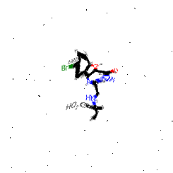 CC(C)(NCc1nc2c(oc3ccc(Br)cc32)c(=O)[nH]1)C(=O)O